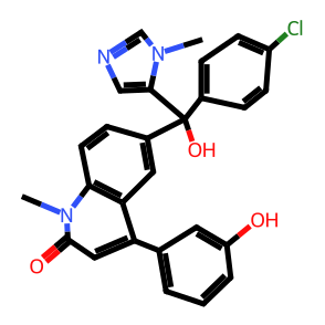 Cn1cncc1C(O)(c1ccc(Cl)cc1)c1ccc2c(c1)c(-c1cccc(O)c1)cc(=O)n2C